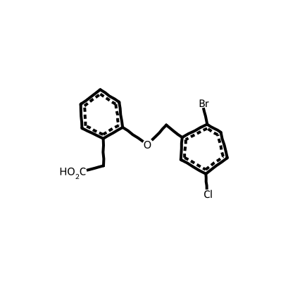 O=C(O)Cc1ccccc1OCc1cc(Cl)ccc1Br